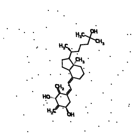 C=C1/C(=C\C=C2/CCC[C@@]3(C)C2CCC3[C@@H](C)CCCC(C)(C)O)C[C@@H](O)C(=C)[C@@H]1O